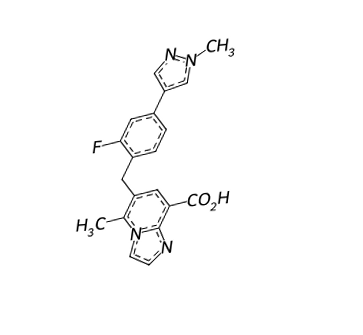 Cc1c(Cc2ccc(-c3cnn(C)c3)cc2F)cc(C(=O)O)c2nccn12